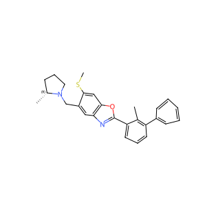 CSc1cc2oc(-c3cccc(-c4ccccc4)c3C)nc2cc1CN1CCC[C@H]1C